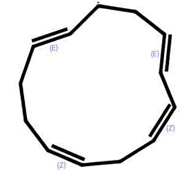 [CH]1/C=C/CC/C=C\C/C=C\C=C\C1